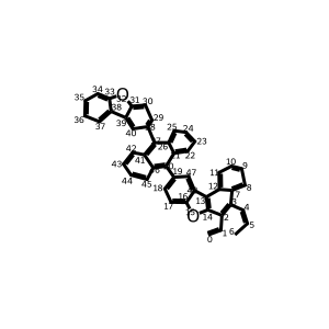 C=Cc1c(/C=C\C)c2ccccc2c2c1oc1ccc(-c3c4ccccc4c(-c4ccc5oc6ccccc6c5c4)c4ccccc34)cc12